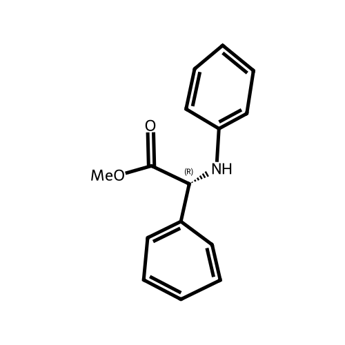 COC(=O)[C@H](Nc1ccccc1)c1ccccc1